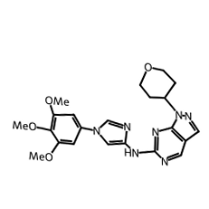 COc1cc(-n2cnc(Nc3ncc4cnn(C5CCOCC5)c4n3)c2)cc(OC)c1OC